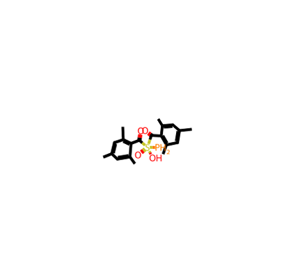 Cc1cc(C)c(C(=O)S(=O)(O)(P)C(=O)c2c(C)cc(C)cc2C)c(C)c1